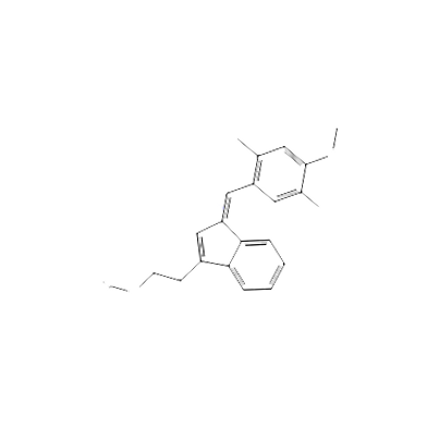 CSc1cc(C)c(/C=C2/C=C(CCON)c3ccccc32)cc1F